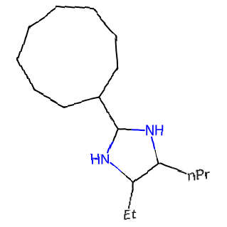 CCCC1NC(C2CCCCCCCC2)NC1CC